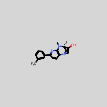 CN1c2nc(-c3cccc(C(F)(F)F)c3)ccc2N2C=C(O)[C@H]1C2